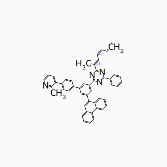 C=C/C=C\C=C(/C)c1nc(-c2ccccc2)nc(-c2cc(-c3ccc(-c4cccnc4C)cc3)cc(-c3cc4ccccc4c4ccccc34)c2)n1